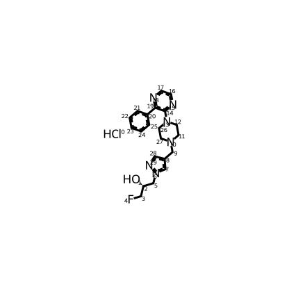 Cl.O[C@@H](CF)Cn1cc(CN2CCN(c3nccnc3-c3ccccc3)CC2)cn1